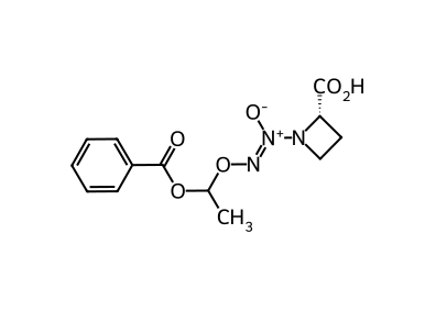 CC(ON=[N+]([O-])N1CC[C@H]1C(=O)O)OC(=O)c1ccccc1